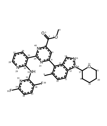 COC(=O)c1cc(-c2c(C)ccc3c2cnn3C2CCCCO2)nc(-c2cccnc2Nc2nc(F)ccc2F)n1